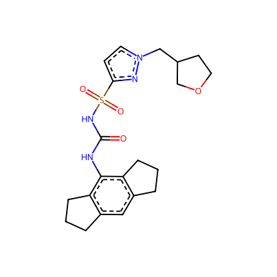 O=C(Nc1c2c(cc3c1CCC3)CCC2)NS(=O)(=O)c1ccn(CC2CCOC2)n1